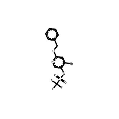 O=S(=O)(Oc1cnc(OCc2ccccc2)cc1Br)C(F)(F)F